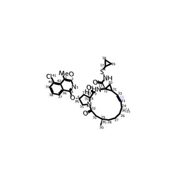 COc1cnc(O[C@@H]2C[C@H]3C(=O)N[C@]4(C(=O)NSC5CC5)CC4/C=C\[C@H](C)CCC[C@@H](C)CC(=O)N3C2)c2cccc(Cl)c12